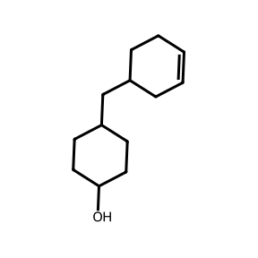 OC1CCC(CC2CC=CCC2)CC1